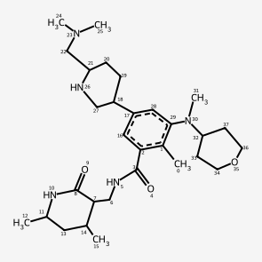 Cc1c(C(=O)NCC2C(=O)NC(C)CC2C)cc(C2CCC(CN(C)C)NC2)cc1N(C)C1CCOCC1